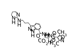 Cc1noc(C)c1S(=O)(=O)NC(CNC(=O)c1cccc2c(CCCNC3N=CCCN3)n[nH]c12)C(=O)O